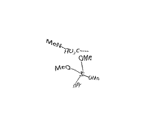 CC(=O)O.CCC[Si](OC)(OC)OC.CNC